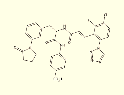 O=C(/C=C/c1c(-n2cnnn2)ccc(Cl)c1F)N[C@@H](Cc1cccc(N2CCCC2=O)c1)C(=O)Nc1ccc(C(=O)O)cc1